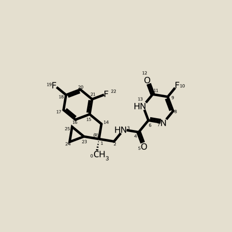 C[C@@](CNC(=O)c1ncc(F)c(=O)[nH]1)(Cc1ccc(F)cc1F)C1CC1